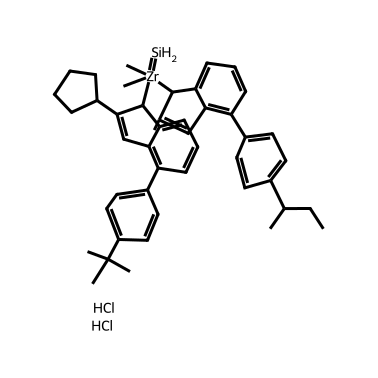 CCC(C)c1ccc(-c2cccc3c2C=C(C)[CH]3[Zr]([CH3])([CH3])(=[SiH2])[CH]2C(C3CCCC3)=Cc3c(-c4ccc(C(C)(C)C)cc4)cccc32)cc1.Cl.Cl